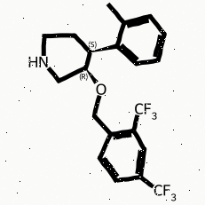 Cc1ccccc1[C@@H]1CCNC[C@@H]1OCc1ccc(C(F)(F)F)cc1C(F)(F)F